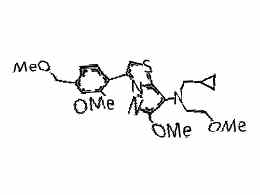 COCCN(CC1CC1)c1c(OC)nn2c(-c3ccc(COC)cc3OC)csc12